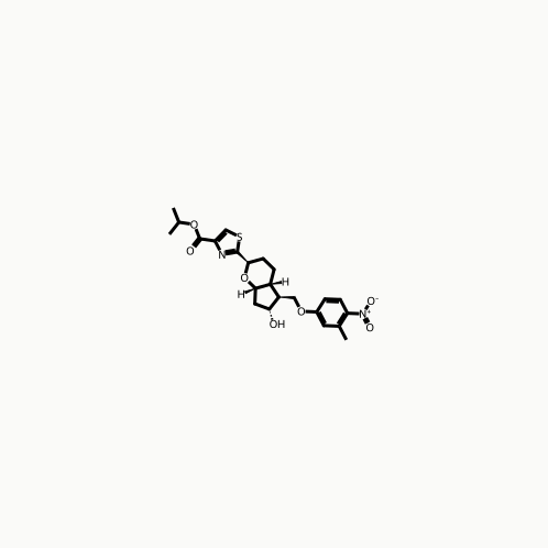 Cc1cc(OC[C@@H]2[C@H]3CC[C@H](c4nc(C(=O)OC(C)C)cs4)O[C@H]3C[C@H]2O)ccc1[N+](=O)[O-]